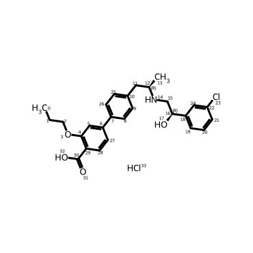 CCCOc1cc(-c2ccc(C[C@@H](C)NC[C@H](O)c3cccc(Cl)c3)cc2)ccc1C(=O)O.Cl